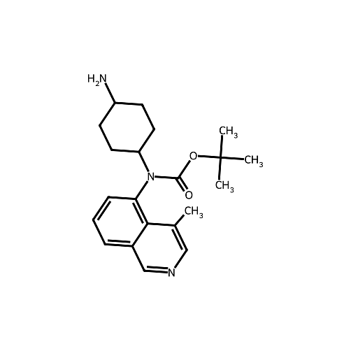 Cc1cncc2cccc(N(C(=O)OC(C)(C)C)C3CCC(N)CC3)c12